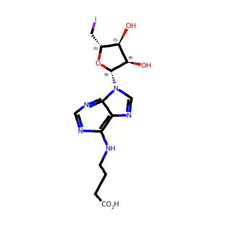 O=C(O)CCCNc1ncnc2c1ncn2[C@@H]1O[C@H](CI)[C@@H](O)[C@H]1O